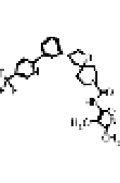 Cc1noc(NC(=O)N2CCC3(CC2)C[C@H](c2cccc(-c4ccc(C(F)(F)F)cn4)c2)CO3)c1C